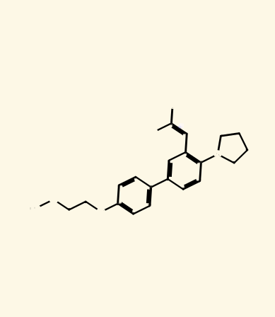 CCCCOCCOc1ccc(-c2ccc(N3CCCC3)c(/C=C(\CC)C(=O)O)c2)cc1